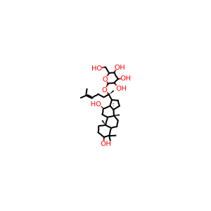 CC(C)=CCC[C@](C)(OC1OC(CO)C(O)C(O)C1O)C1CC[C@]2(C)C1[C@H](O)CC1[C@@]3(C)CCC(O)C(C)(C)C3CC[C@]12C